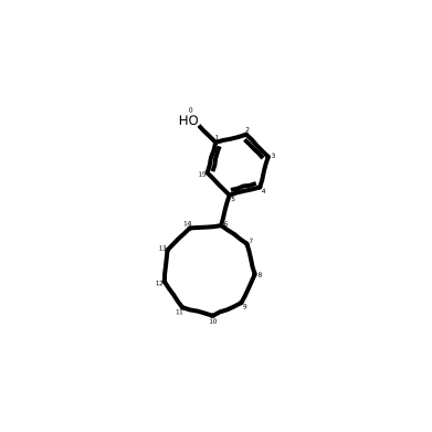 Oc1cccc(C2CCCCCCCC2)c1